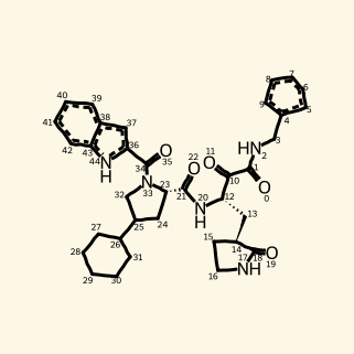 O=C(NCc1ccccc1)C(=O)[C@H](C[C@@H]1CCNC1=O)NC(=O)[C@@H]1CC(C2CCCCC2)CN1C(=O)c1cc2ccccc2[nH]1